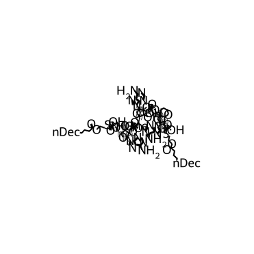 CCCCCCCCCCCCCC(=O)OCCSP(=O)(O)OC[C@H]1O[C@@H](n2cnc3c(N)ncnc32)[C@@H](OP(=O)(O)OC[C@H]2O[C@@H](n3cnc4c(N)ncnc43)[C@@H](OP(=O)(O)OC[C@]34CCCOC3[C@H](OP(=O)(O)SCCOC(=O)CCCCCCCCCCCCC)[C@H](n3cnc5c(N)ncnc53)O4)C2O)C1OC